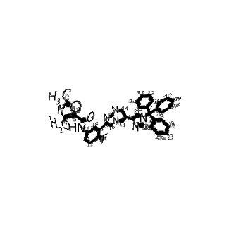 Cc1nc(C)c(C(=O)Nc2ccc(F)c(-c3cn4cc(-c5cn(C(c6ccccc6)(c6ccccc6)c6ccccc6)cn5)cnc4n3)c2)o1